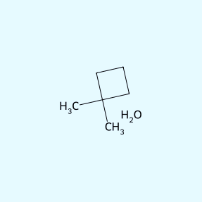 CC1(C)CCC1.O